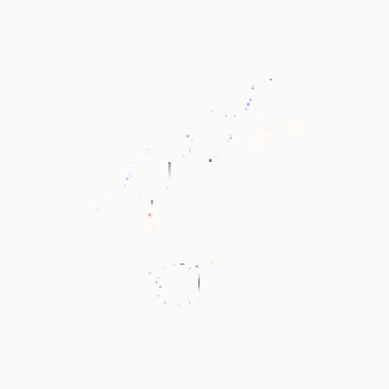 Nc1ncc(-c2ccc(N3CCCS3(=O)=O)cc2)cc1OCc1c(F)ccc(F)c1Cl